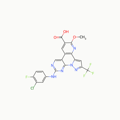 COc1nc2c(cc1C(=O)O)c1cnc(Nc3ccc(F)c(Cl)c3)nc1n1nc(C(F)(F)F)cc21